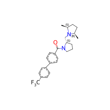 C[C@@H]1CC[C@H](C)N1C[C@@H]1CCCN1C(=O)c1ccc(-c2ccc(C(F)(F)F)cc2)cc1